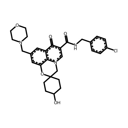 O=C(NCc1ccc(Cl)cc1)c1cn2c3c(cc(CN4CCOCC4)cc3c1=O)OC1(CCC(O)CC1)C2